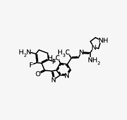 C/C(=C\N=C(/N)N1CCNC1)c1cnc2c(c1C)C(C(=O)C1=C(F)CCC(N)=C1F)=N2